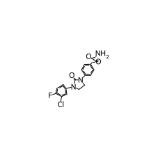 NS(=O)(=O)c1ccc(N2CCN(c3ccc(F)c(Cl)c3)C2=O)cc1